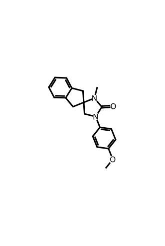 COc1ccc(N2CC3(Cc4ccccc4C3)N(C)C2=O)cc1